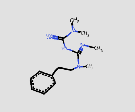 C/N=C(/NC(=N)N(C)C)N(C)CCc1ccccc1